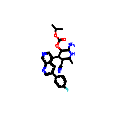 CC1=C(C#N)C(c2cncc3ncc(-c4ccc(F)cc4)cc23)C(OC(=O)OC(C)C)=C(N)N1